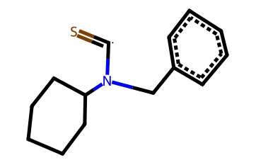 S=[C]N(Cc1ccccc1)C1CCCCC1